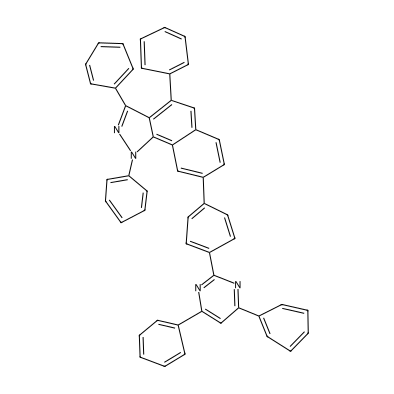 c1ccc(-c2cc(-c3ccccc3)nc(-c3ccc(-c4ccc5cc(-c6ccccc6)c6c(-c7ccccc7)nn(-c7ccccc7)c6c5c4)cc3)n2)cc1